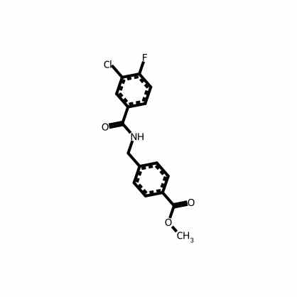 COC(=O)c1ccc(CNC(=O)c2ccc(F)c(Cl)c2)cc1